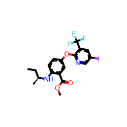 CC[C@H](C)Nc1ccc(Oc2ncc(I)cc2C(F)(F)F)cc1C(=O)OC